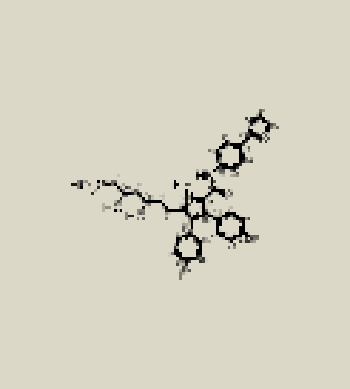 CC(C)n1c(CC[C@@H](O)C[C@@H](O)CC(=O)O)c(-c2ccc(F)cc2)c(-c2ccc(F)cc2)c1C(=O)Nc1ccc(-c2ncco2)cc1